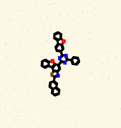 c1ccc(-c2nc(-c3ccc4c(c3)oc3ccccc34)nc(-c3cc4nc(-c5ccc6ccccc6c5)sc4c4c3oc3ccccc34)n2)cc1